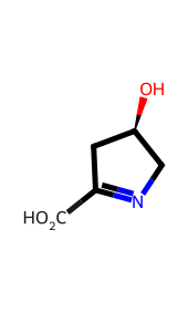 O=C(O)C1=NC[C@H](O)C1